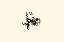 CNCCOc1cc(C(=O)NC(=N)N)cc(-c2cc(Cl)sc2Cl)c1.Cl.Cl